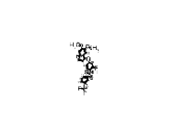 COc1cc2nccc(Oc3ccc(NS(=O)(=O)c4cccc(OC(F)F)c4)c(F)c3)c2cc1OC